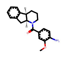 COc1cc(C(=O)N2CCC[C@@H]3c4ccccc4C[C@@H]32)ccc1N